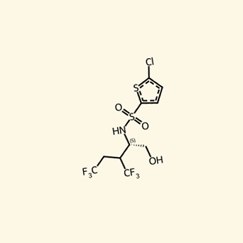 O=S(=O)(N[C@H](CO)C(CC(F)(F)F)C(F)(F)F)c1ccc(Cl)s1